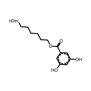 CCCCCCCCCCCCCCCCOC(=O)c1cc(O)cc(O)c1